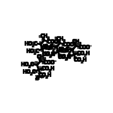 C=C(C(=O)[O-])C(C(=O)O)C(C(=O)O)(C(=O)O)C(=O)O.C=C(C(=O)[O-])C(C(=O)O)C(C(=O)O)(C(=O)O)C(=O)O.C=C(C(=O)[O-])C(C(=O)O)C(C(=O)O)(C(=O)O)C(=O)O.C=C(C(=O)[O-])C(C(=O)O)C(C(=O)O)(C(=O)O)C(=O)O.[Zr+4]